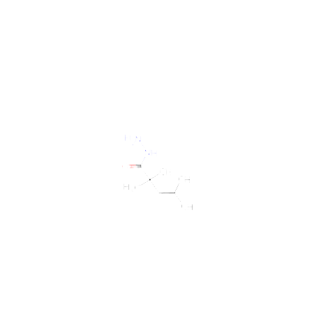 CC(C)CC(C)(C)C(=O)NN